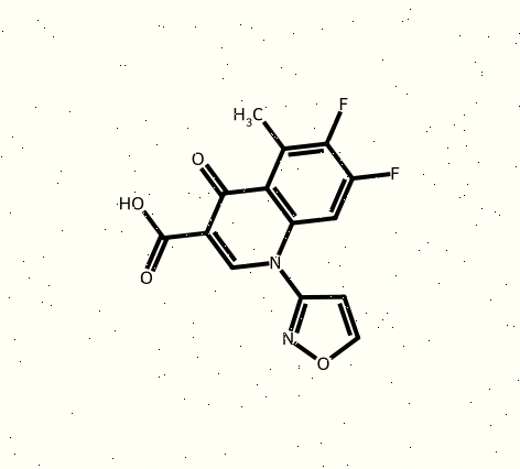 Cc1c(F)c(F)cc2c1c(=O)c(C(=O)O)cn2-c1ccon1